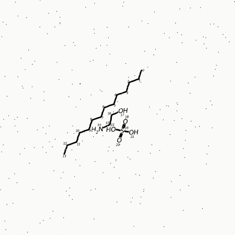 CCCCCCCCCCCCCC.NCCO.O=S(=O)(O)O